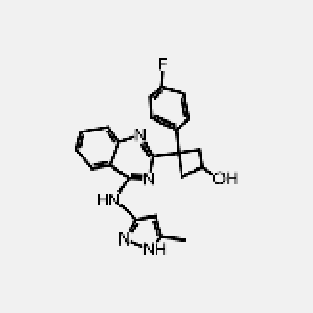 Cc1cc(Nc2nc(C3(c4ccc(F)cc4)CC(O)C3)nc3ccccc23)n[nH]1